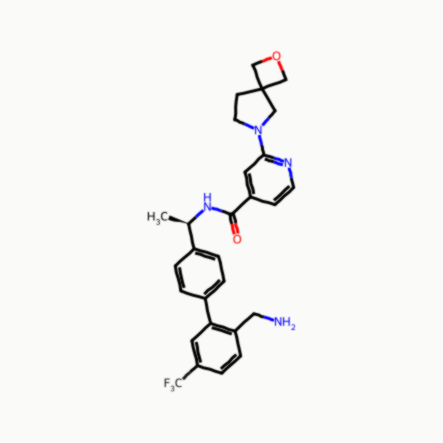 C[C@@H](NC(=O)c1ccnc(N2CCC3(COC3)C2)c1)c1ccc(-c2cc(C(F)(F)F)ccc2CN)cc1